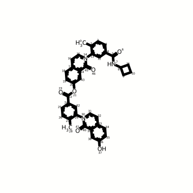 Cc1ccc(C(=O)NC2CCC2)cc1-n1ccc2ccc(OC(=O)c3ccc(C)c(-n4ccc5ccc(O)cc5c4=O)c3)cc2c1=O